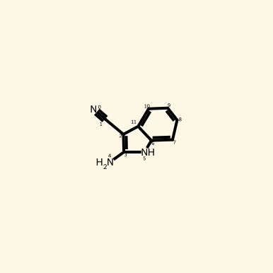 N#Cc1c(N)[nH]c2ccccc12